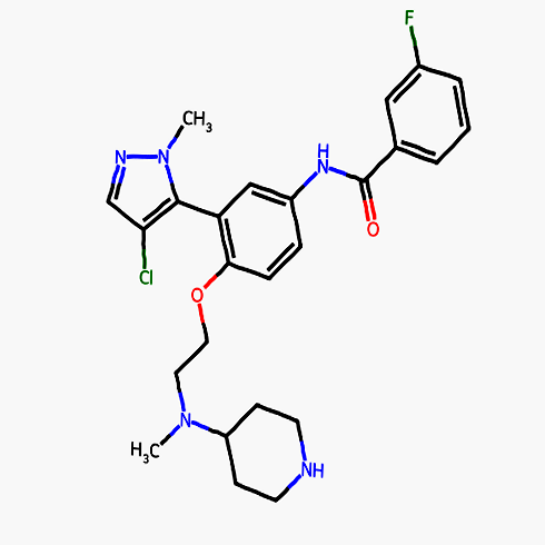 CN(CCOc1ccc(NC(=O)c2cccc(F)c2)cc1-c1c(Cl)cnn1C)C1CCNCC1